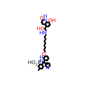 Cc1ccc(C(NC(=O)O)(c2cccc(OCCCCCCCCCNCC(O)c3ccc(O)c4[nH]c(=O)ccc34)c2)C2CN3CCC2CC3)cc1